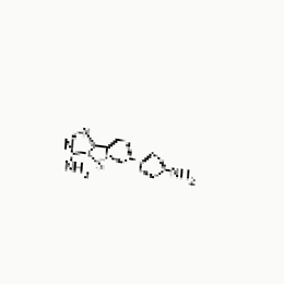 Nc1ccc(-c2ccc3c(c2)sc2c(N)ncnc23)cc1